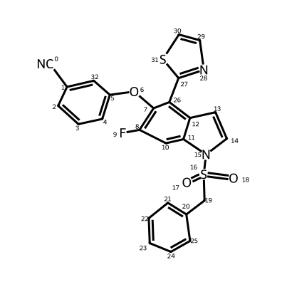 N#Cc1cccc(Oc2c(F)cc3c(ccn3S(=O)(=O)Cc3ccccc3)c2-c2nccs2)c1